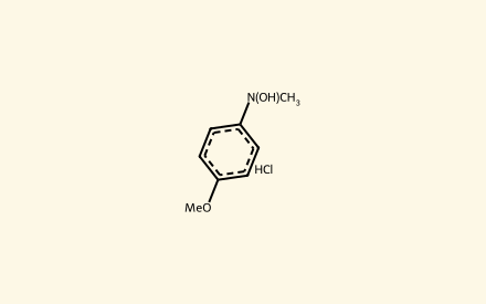 COc1ccc(N(C)O)cc1.Cl